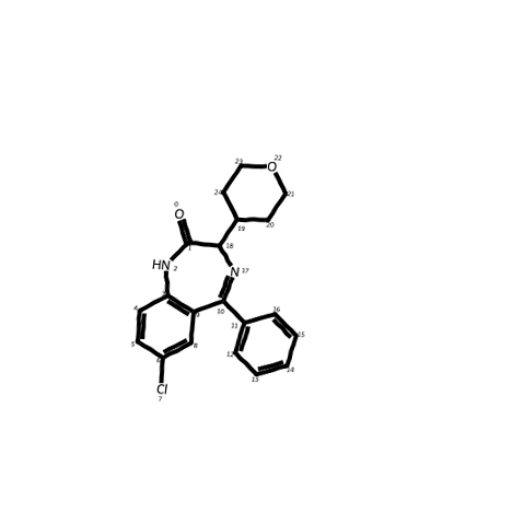 O=C1Nc2ccc(Cl)cc2C(c2ccccc2)=NC1C1CCOCC1